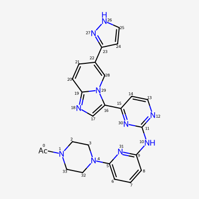 CC(=O)N1CCN(c2cccc(Nc3nccc(-c4cnc5ccc(-c6cc[nH]n6)cn45)n3)n2)CC1